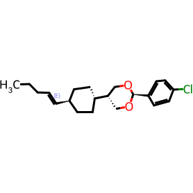 CCC/C=C/[C@H]1CC[C@H]([C@H]2CO[C@H](c3ccc(Cl)cc3)OC2)CC1